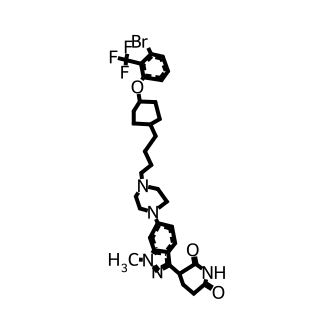 Cn1nc(C2CCC(=O)NC2=O)c2ccc(N3CCN(CCCCC4CCC(Oc5cccc(Br)c5C(F)(F)F)CC4)CC3)cc21